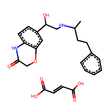 CC(CCc1ccccc1)NCC(O)c1ccc2c(c1)OCC(=O)N2.O=C(O)C=CC(=O)O